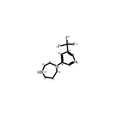 FC(F)(F)c1cncc(N2CCCNCC2)c1